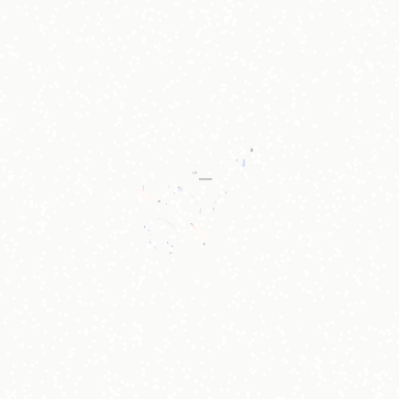 CCCNCc1ccc2c(=O)c3[nH]nnc3c(=O)[nH]c2c1